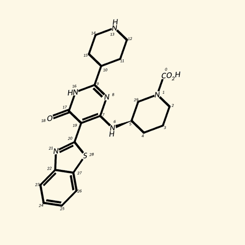 O=C(O)N1CCC[C@@H](Nc2nc(C3CCNCC3)[nH]c(=O)c2-c2nc3ccccc3s2)C1